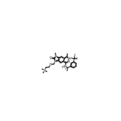 Cc1nnc(N[C@H](C)c2cccc(C(F)(F)F)c2)c2cc3c(cc12)n(C)c(=O)n3COCC[Si](C)(C)C